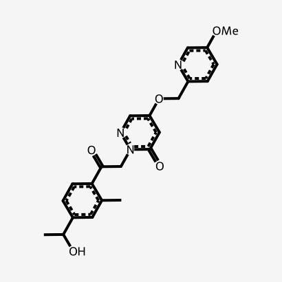 COc1ccc(COc2cnn(CC(=O)c3ccc(C(C)O)cc3C)c(=O)c2)nc1